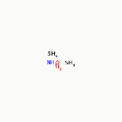 N.O.[SiH4].[SiH4]